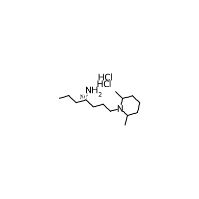 CCC[C@H](N)CCCN1C(C)CCCC1C.Cl.Cl